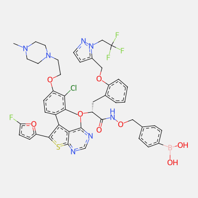 Cc1c(-c2c(-c3ccc(F)o3)sc3ncnc(O[C@H](Cc4ccccc4OCc4ccnn4CC(F)(F)F)C(=O)NOCc4ccc(B(O)O)cc4)c23)ccc(OCCN2CCN(C)CC2)c1Cl